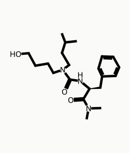 CC(C)CCN(CCCCO)C(=O)N[C@@H](Cc1ccccc1)C(=O)N(C)C